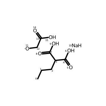 CCCC(C(=O)O)C(=O)O.[NaH].[O]CC(=O)O